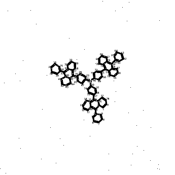 C1=CC2C(c3ccccc3)=c3ccccc3=C(c3ccc(N(c4ccc(C5=c6ccccc6=C(c6ccccc6)C6C=CC=CC56)cc4)c4ccc(-c5c6ccccc6c(-c6ccccc6)c6ccccc56)cc4)cc3)C2C=C1